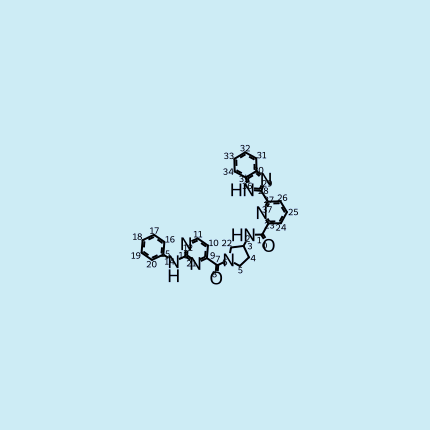 O=C(NC1CCN(C(=O)c2ccnc(Nc3ccccc3)n2)C1)c1cccc(-c2nc3ccccc3[nH]2)n1